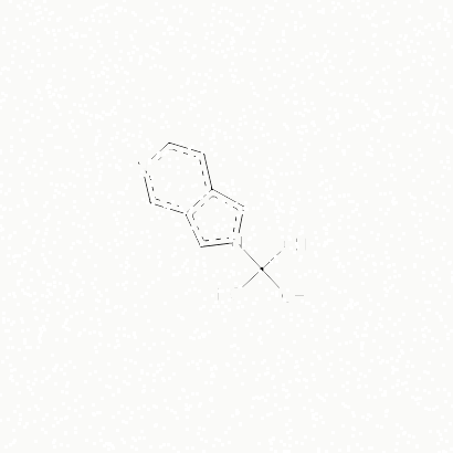 CC(C)(C)n1cc2ccncc2c1